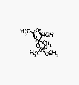 CC=CC(C)(OP(C)(=O)OC)C(=O)O